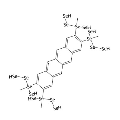 C[Se]([SeH])([Se][SeH])c1cc2cc3cc4cc([Se](C)([SeH])[Se][SeH])c([Se](C)([SeH])[Se][SeH])cc4cc3cc2cc1[Se](C)([SeH])[Se][SeH]